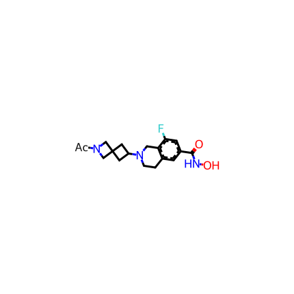 CC(=O)N1CC2(CC(N3CCc4cc(C(=O)NO)cc(F)c4C3)C2)C1